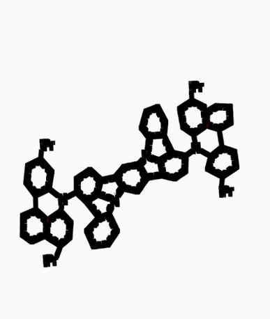 CC(C)c1ccc(N(c2cc(C(C)C)ccc2-c2ccccc2)c2ccc3c4cc5c(cc4n4c6ccccc6c2c34)c2ccc(N(c3ccc(C(C)C)cc3)c3cc(C(C)C)ccc3-c3ccccc3)c3c4ccccc4n5c23)cc1